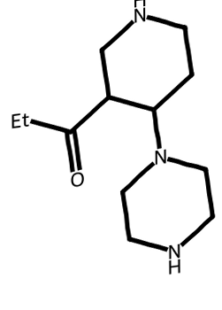 CCC(=O)C1CNCCC1N1CCNCC1